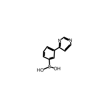 OB(O)c1cccc(-c2ccncn2)c1